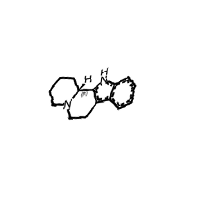 c1ccc2c3c([nH]c2c1)[C@H]1CCCCN1CC3